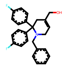 OCC1=CCN(Cc2ccccc2)C(c2ccc(F)cc2)(c2ccc(F)cc2)C1